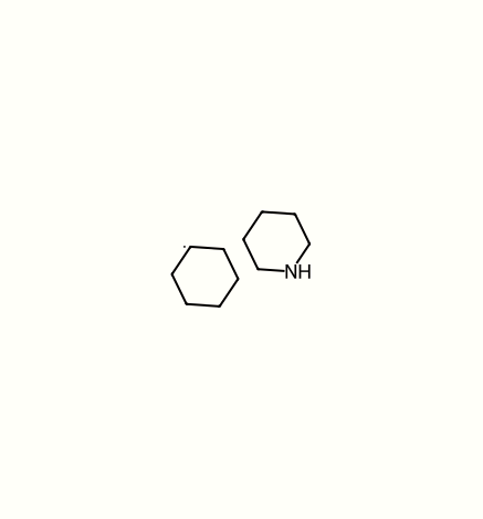 C1CCNCC1.[CH]1CCCCC1